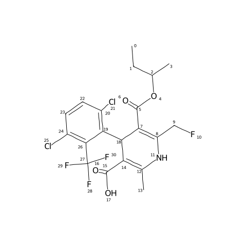 CCC(C)OC(=O)C1=C(CF)NC(C)=C(C(=O)O)C1c1c(Cl)ccc(Cl)c1C(F)(F)F